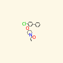 C=CC(=O)N1CCC(Oc2cc(-c3ccccc3)ccc2Cl)CC1